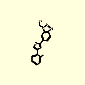 Cc1ccccc1-c1coc(-c2ccc3nnn(CC(C)C)c3c2)c1